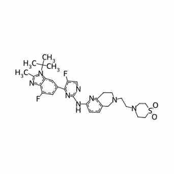 Cc1nc2c(F)cc(-c3nc(Nc4ccc5c(n4)CCN(CCN4CCS(=O)(=O)CC4)C5)ncc3F)cc2n1C(C)(C)C